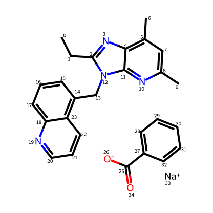 CCc1nc2c(C)cc(C)nc2n1Cc1cccc2ncccc12.O=C([O-])c1ccccc1.[Na+]